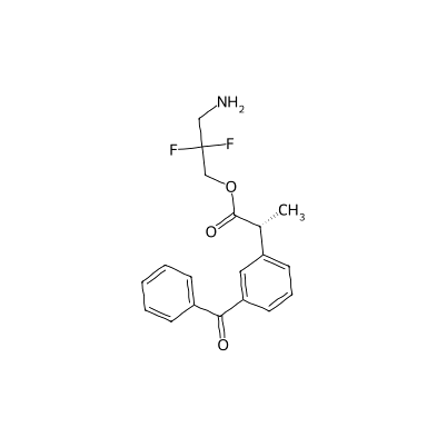 C[C@@H](C(=O)OCC(F)(F)CN)c1cccc(C(=O)c2ccccc2)c1